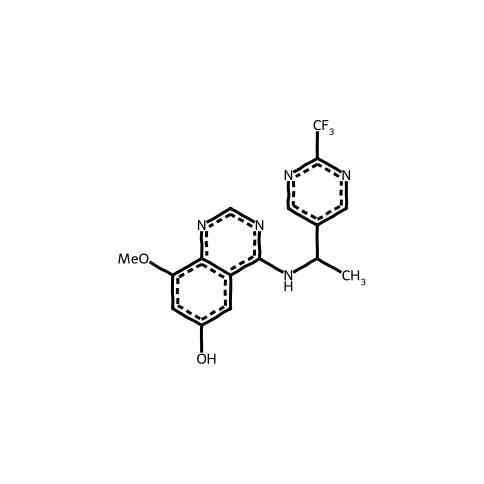 COc1cc(O)cc2c(NC(C)c3cnc(C(F)(F)F)nc3)ncnc12